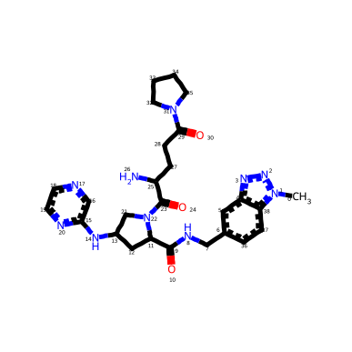 Cn1nnc2cc(CNC(=O)C3CC(Nc4cnccn4)CN3C(=O)C(N)CCC(=O)N3CCCC3)ccc21